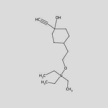 C#CC1(O)CCC(CCO[Si](CC)(CC)CC)CC1